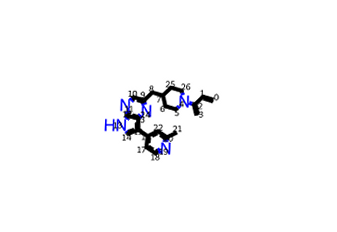 C=CC(=C)N1CCC(Cc2cnc3[nH]cc(-c4ccnc(C)c4)c3n2)CC1